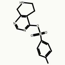 Cc1ccc(S(=O)(=O)Oc2ncnc3c2CCNC3)cc1